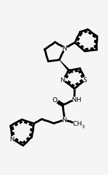 CN(CCc1ccncc1)C(=O)Nc1nc([C@H]2CCCN2c2ccccc2)cs1